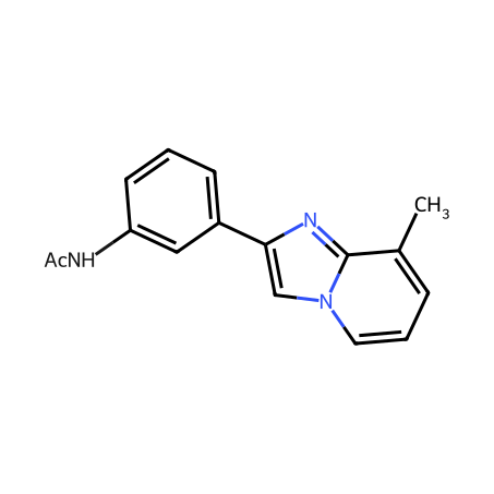 CC(=O)Nc1cccc(-c2cn3cccc(C)c3n2)c1